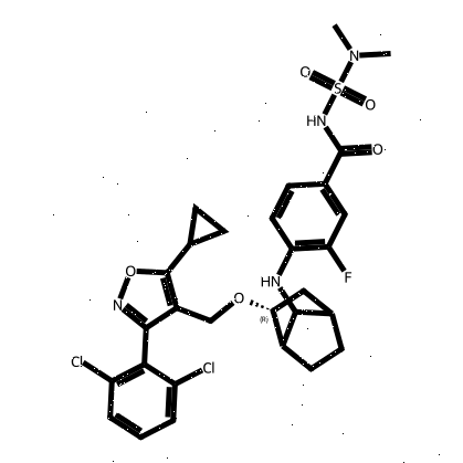 CN(C)S(=O)(=O)NC(=O)c1ccc(NC2C3CCC2[C@H](OCc2c(-c4c(Cl)cccc4Cl)noc2C2CC2)C3)c(F)c1